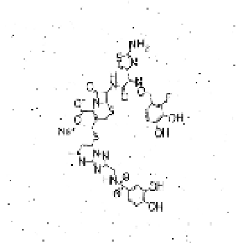 Cc1cc(SCC2=C(C(=O)[O-])N3C(=O)C(NC(=O)/C(=N\OCc4ccc(O)c(O)c4F)c4csc(N)n4)C3SC2)n2nc(CNS(=O)(=O)c3ccc(O)c(O)c3)nc2n1.[Na+]